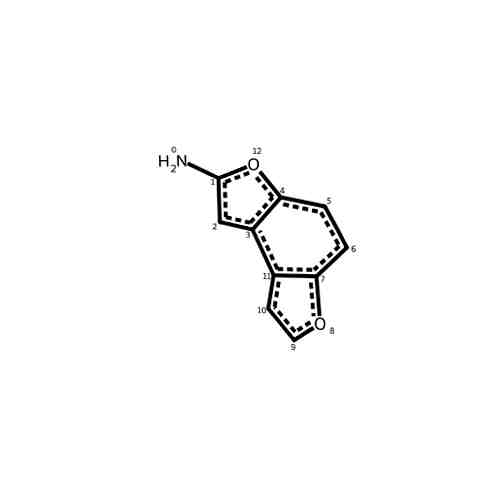 Nc1cc2c(ccc3occc32)o1